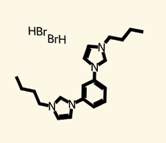 Br.Br.CCCCN1C=CN(c2cccc(N3C=CN(CCCC)C3)c2)C1